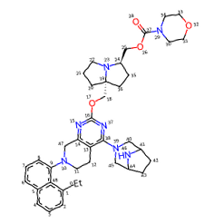 CCc1cccc2cccc(N3CCc4c(nc(OC[C@]56CCCN5[C@@H](COC(=O)N5CCOCC5)CC6)nc4N4CC5CCC(C4)N5)C3)c12